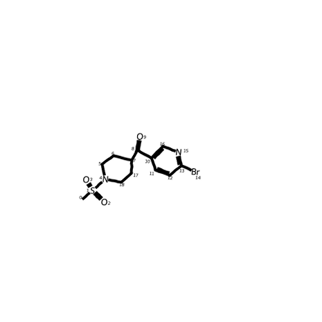 CS(=O)(=O)N1CCC(C(=O)c2ccc(Br)nc2)CC1